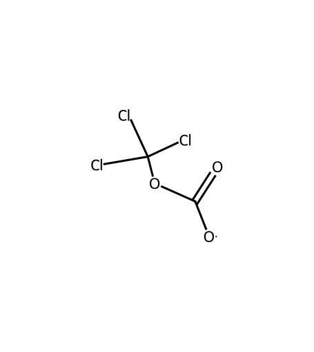 [O]C(=O)OC(Cl)(Cl)Cl